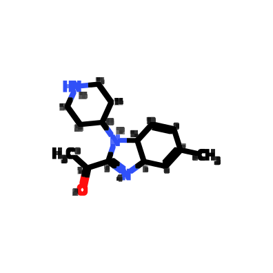 CC(=O)C1=NC2C=C(C)C=CC2N1C1CCNCC1